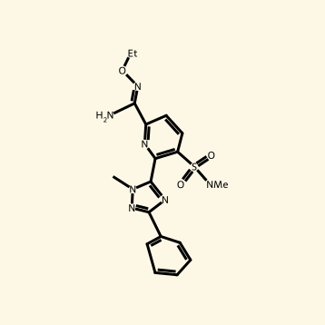 CCO/N=C(\N)c1ccc(S(=O)(=O)NC)c(-c2nc(-c3ccccc3)nn2C)n1